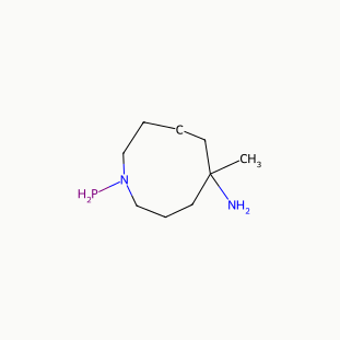 CC1(N)CCCCN(P)CCC1